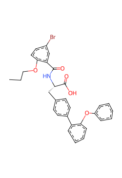 CCCOc1ccc(Br)cc1C(=O)N[C@@H](Cc1ccc(-c2ccccc2Oc2ccccc2)cc1)C(=O)O